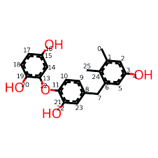 Cc1cc(O)cc(Cc2ccc(Oc3cc(O)ccc3O)c(O)c2)c1C